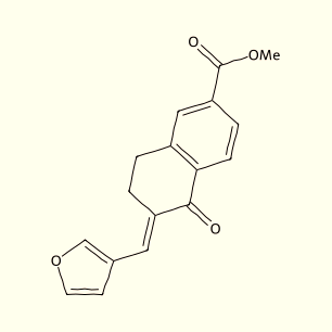 COC(=O)c1ccc2c(c1)CC/C(=C\c1ccoc1)C2=O